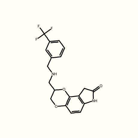 O=C1Cc2c(ccc3c2OC(CNCc2cccc(C(F)(F)F)c2)CO3)N1